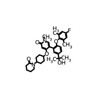 Cc1cc(F)cc(C)c1Oc1ccc(C(C)(C)O)cc1-c1cn(C)c(=O)cc1OC1CCC(N2CCCCC2=O)CC1